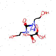 O=C(NCCO)NCCO.O=C(O)C(=O)O